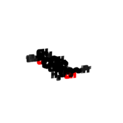 CC(C)CCCC[C@](C)(O)[C@H]1CC[C@H]2[C@@H]3CC=C4C[C@@H](O[Si](C)(C)C(C)(C)C)CC[C@]4(C)[C@H]3CC[C@@]21C